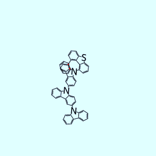 c1ccc(-c2cccc3sc4cccc(-n5c6ccccc6c6cc(-n7c8ccccc8c8cc(-n9c%10ccccc%10c%10ccccc%109)ccc87)ccc65)c4c23)cc1